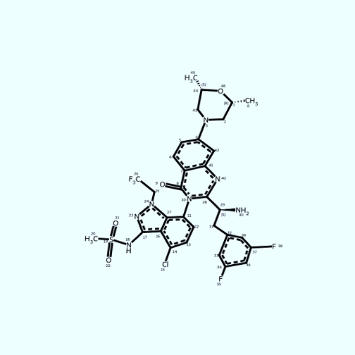 C[C@@H]1CN(c2ccc3c(=O)n(-c4ccc(Cl)c5c(NS(C)(=O)=O)nn(CC(F)(F)F)c45)c([C@@H](N)Cc4cc(F)cc(F)c4)nc3c2)C[C@H](C)O1